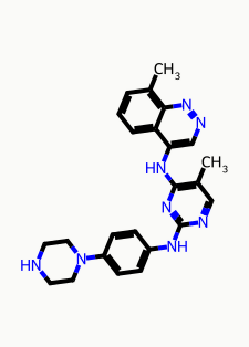 Cc1cnc(Nc2ccc(N3CCNCC3)cc2)nc1Nc1cnnc2c(C)cccc12